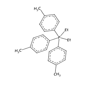 CCP(CC)(c1ccc(C)cc1)(c1ccc(C)cc1)c1ccc(C)cc1